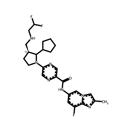 Cc1cn2cc(NC(=O)c3cnc(N4CC[C@@H](CNCC(F)F)C4C4CCCC4)cn3)cc(F)c2n1